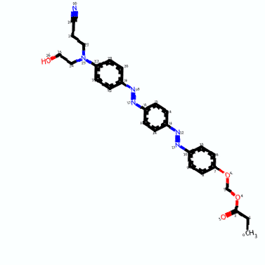 CCC(=O)OCOc1ccc(N=Nc2ccc(N=Nc3ccc(N(CCO)CCC#N)cc3)cc2)cc1